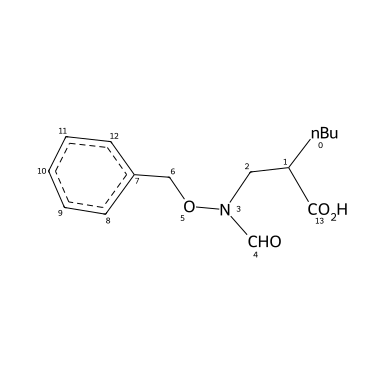 CCCCC(CN(C=O)OCc1ccccc1)C(=O)O